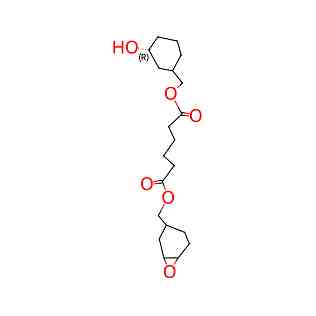 O=C(CCCCC(=O)OCC1CCC[C@@H](O)C1)OCC1CCC2OC2C1